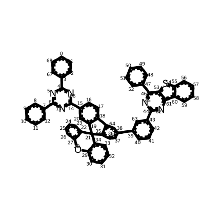 c1ccc(-c2nc(-c3ccccc3)nc(-c3ccc4c(c3)C3(c5ccccc5Oc5ccccc53)c3ccc(-c5cccc(-c6nc(-c7ccccc7)c7sc8ccccc8c7n6)c5)cc3-4)n2)cc1